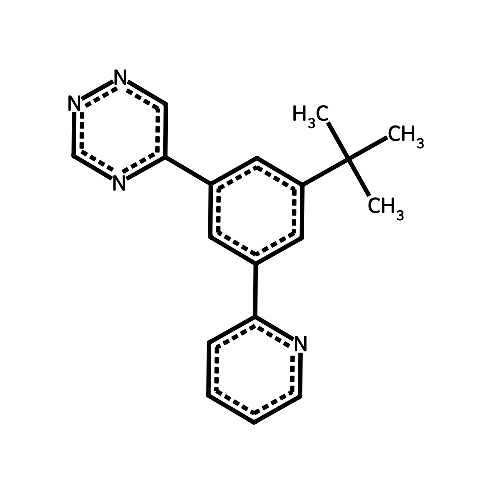 CC(C)(C)c1cc(-c2ccccn2)cc(-c2cnncn2)c1